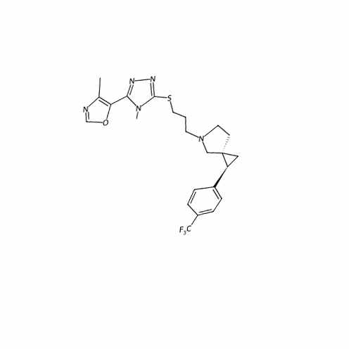 Cc1ncoc1-c1nnc(SCCCN2CC[C@@]3(C[C@H]3c3ccc(C(F)(F)F)cc3)C2)n1C